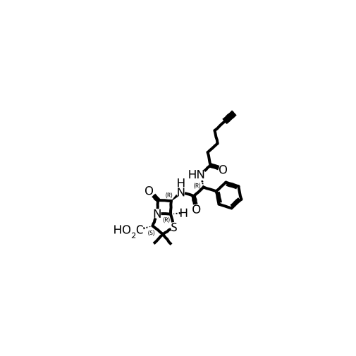 C#CCCCC(=O)N[C@@H](C(=O)N[C@@H]1C(=O)N2[C@@H]1SC(C)(C)[C@@H]2C(=O)O)c1ccccc1